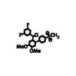 COc1cc(C(=O)c2cc(F)cc(F)c2)c(-c2ccc(S(C)(=O)=O)cc2)cc1OC